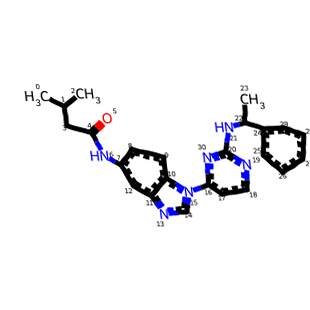 CC(C)CC(=O)Nc1ccc2c(c1)ncn2-c1ccnc(NC(C)c2ccccc2)n1